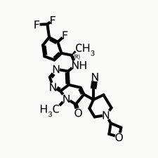 C[C@@H](Nc1ncnc2c1cc(C1(C#N)CCN(C3COC3)CC1)c(=O)n2C)c1cccc(C(F)F)c1F